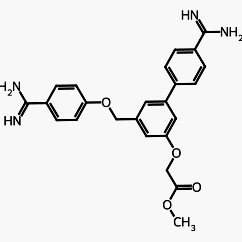 COC(=O)COc1cc(COc2ccc(C(=N)N)cc2)cc(-c2ccc(C(=N)N)cc2)c1